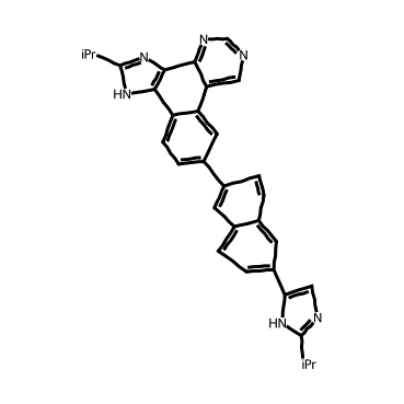 CC(C)c1ncc(-c2ccc3cc(-c4ccc5c(c4)c4cncnc4c4nc(C(C)C)[nH]c54)ccc3c2)[nH]1